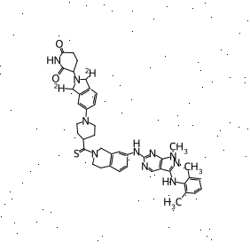 [2H]C1c2ccc(N3CCC(C(=S)N4CCc5ccc(Nc6ncc7c(Nc8c(C)cccc8C)nn(C)c7n6)cc5C4)CC3)cc2C([2H])N1C1CCC(=O)NC1=O